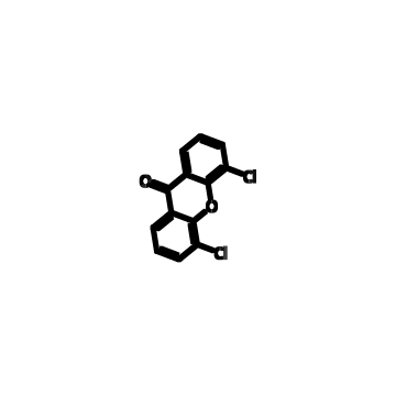 O=c1c2cccc(Cl)c2oc2c(Cl)cccc12